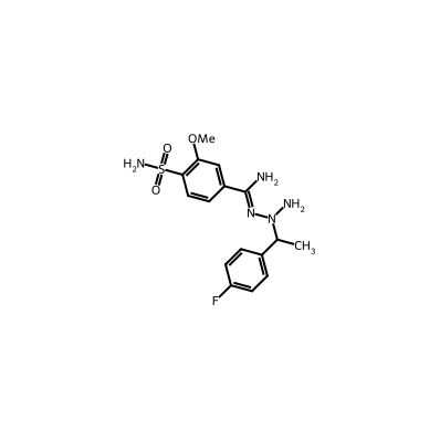 COc1cc(/C(N)=N/N(N)C(C)c2ccc(F)cc2)ccc1S(N)(=O)=O